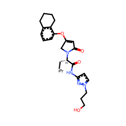 CC(C)C[C@@H](C(=O)Nc1ccn(CCCO)n1)N1CC(Oc2cccc3c2CCCC3)=CC1=O